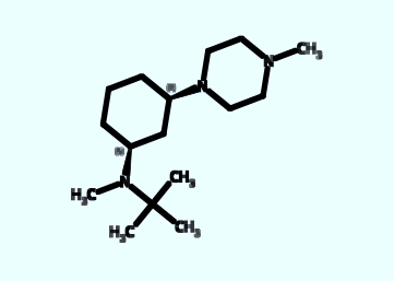 CN1CCN([C@@H]2CCC[C@H](N(C)C(C)(C)C)C2)CC1